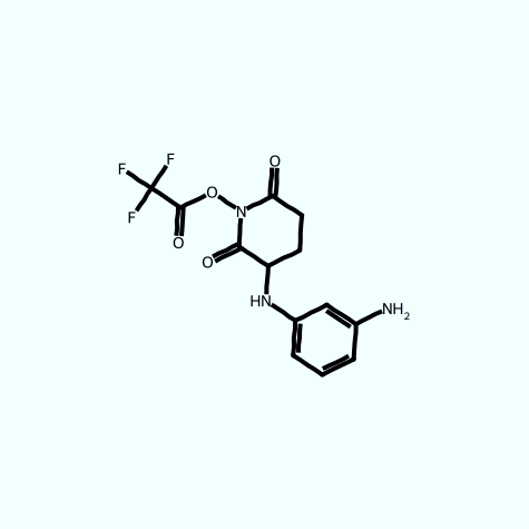 Nc1cccc(NC2CCC(=O)N(OC(=O)C(F)(F)F)C2=O)c1